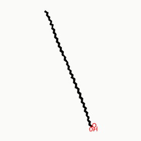 CCCCCCCCCCCCCCCCCCCCCCCCCCCCCCCCCCCCCCCCCCCCCCCCCCCC(=O)O